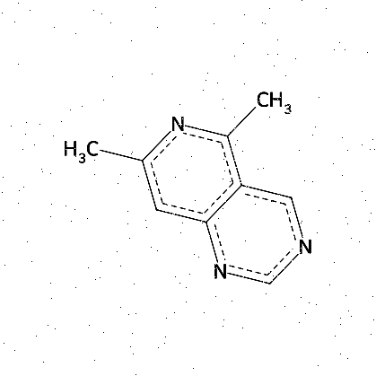 Cc1cc2ncncc2c(C)n1